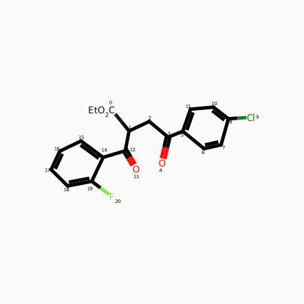 CCOC(=O)C(CC(=O)c1ccc(Cl)cc1)C(=O)c1ccccc1F